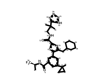 C[C@H](NC(=O)c1cc(-c2sc(C(=O)NCC(C)(C)c3nnn[nH]3)nc2CC2CCCCC2)cc(C2(C)CC2)c1)C(F)(F)F